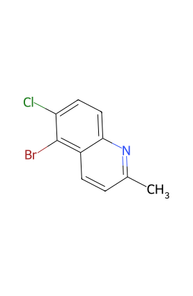 Cc1ccc2c(Br)c(Cl)ccc2n1